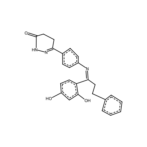 O=C1CCC(c2ccc(N=C(CCc3ccccc3)c3ccc(O)cc3O)cc2)=NN1